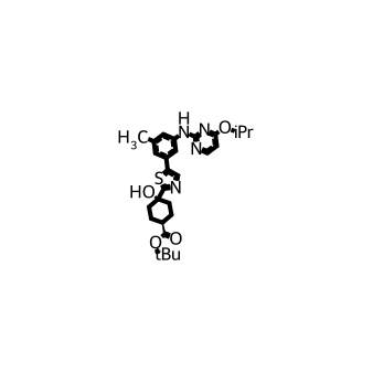 Cc1cc(Nc2nccc(OC(C)C)n2)cc(-c2cnc([C@]3(O)CC[C@@H](C(=O)OC(C)(C)C)CC3)s2)c1